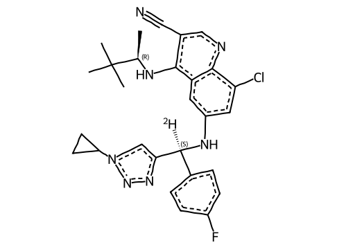 [2H][C@](Nc1cc(Cl)c2ncc(C#N)c(N[C@H](C)C(C)(C)C)c2c1)(c1ccc(F)cc1)c1cn(C2CC2)nn1